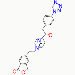 O=C1OCc2cc(CCN3CC4CCC3CN4C(=O)Cc3ccc(-n4cnnn4)cc3)ccc21